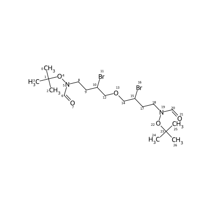 CC(C)(C)ON(C=O)CCC(Br)COCC(Br)CCN(C=O)OC(C)(C)C